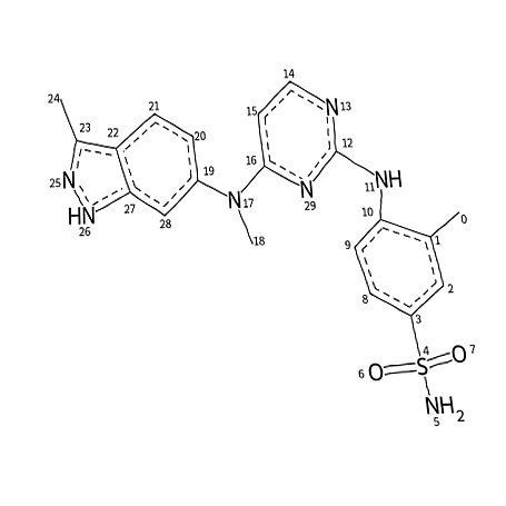 Cc1cc(S(N)(=O)=O)ccc1Nc1nccc(N(C)c2ccc3c(C)n[nH]c3c2)n1